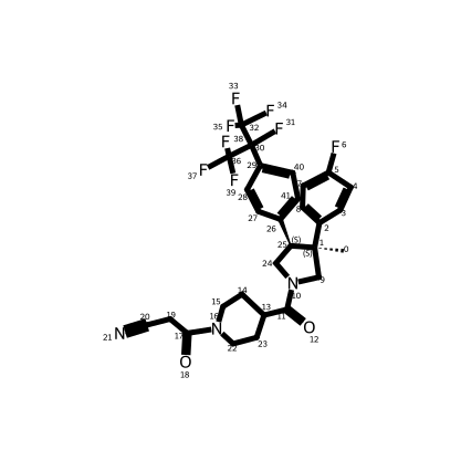 C[C@]1(c2ccc(F)cc2)CN(C(=O)C2CCN(C(=O)CC#N)CC2)C[C@H]1c1ccc(C(F)(C(F)(F)F)C(F)(F)F)cc1